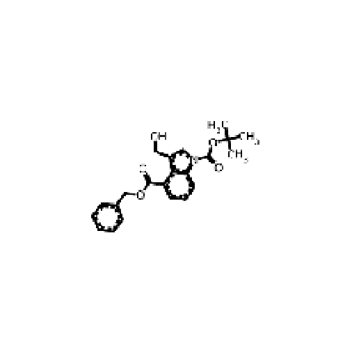 CC(C)(C)OC(=O)n1cc(CO)c2c(C(=O)OCc3ccccc3)cccc21